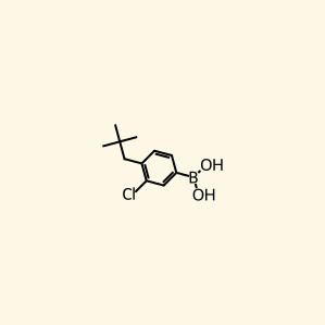 CC(C)(C)Cc1ccc(B(O)O)cc1Cl